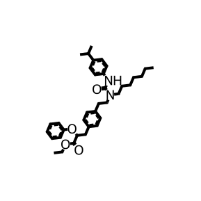 CCCCCCCN(CCc1ccc(CC(Oc2ccccc2)C(=O)OCC)cc1)C(=O)Nc1ccc(C(C)C)cc1